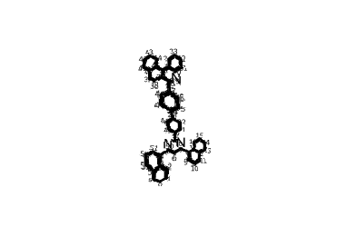 c1ccc2c(-c3cc(-c4cccc5ccccc45)nc(-c4ccc(-c5ccc(-c6nc7ccccc7c7c6ccc6ccccc67)cc5)cc4)n3)cccc2c1